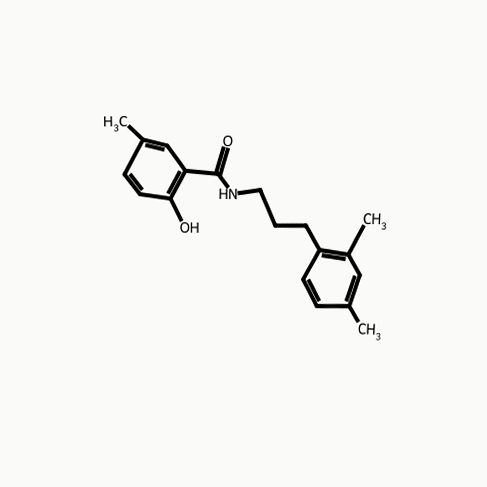 Cc1ccc(CCCNC(=O)c2cc(C)ccc2O)c(C)c1